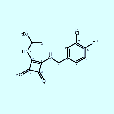 CC(Nc1c([AsH]Cc2ccc(F)c(Cl)c2)c(=O)c1=O)C(C)(C)C